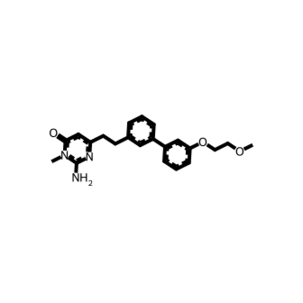 COCCOc1cccc(-c2cccc(CCc3cc(=O)n(C)c(N)n3)c2)c1